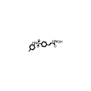 Cc1ccc(NS(=O)(=O)c2ccc(/C=C/C(=O)NO)cc2)cc1